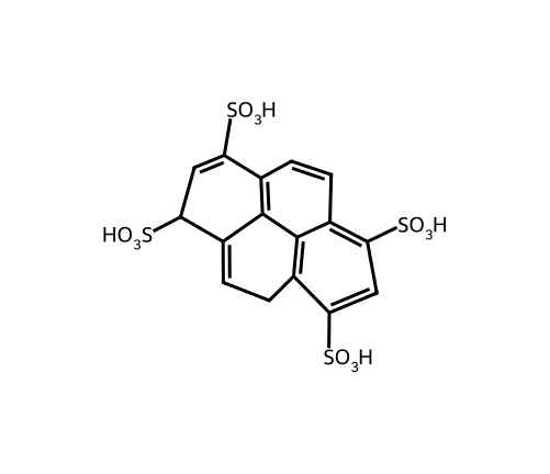 O=S(=O)(O)C1=CC(S(=O)(=O)O)C2=CCc3c(S(=O)(=O)O)cc(S(=O)(=O)O)c4ccc1c2c34